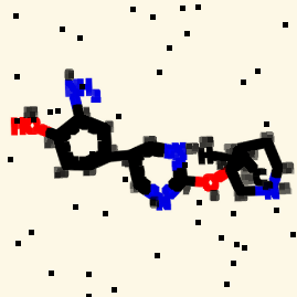 Nc1cc(-c2cnc(O[C@H]3CN4CCC3CC4)nc2)ccc1O